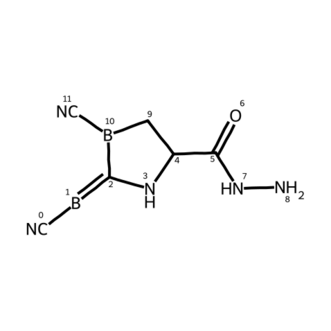 N#CB=C1NC(C(=O)NN)CB1C#N